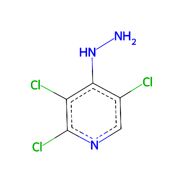 NNc1c(Cl)cnc(Cl)c1Cl